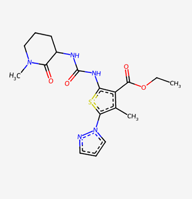 CCOC(=O)c1c(NC(=O)NC2CCCN(C)C2=O)sc(-n2cccn2)c1C